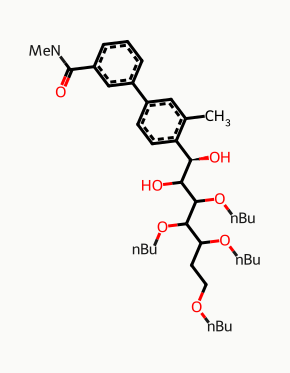 CCCCOCCC(OCCCC)C(OCCCC)C(OCCCC)C(O)[C@H](O)c1ccc(-c2cccc(C(=O)NC)c2)cc1C